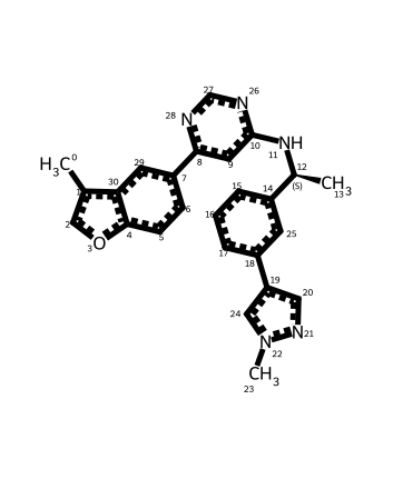 Cc1coc2ccc(-c3cc(N[C@@H](C)c4cccc(-c5cnn(C)c5)c4)ncn3)cc12